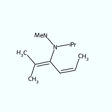 C/C=C\C(=C(C)C)N(NC)C(C)C